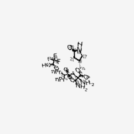 CCCC(CCC)S(=O)(=O)CC(N)(C(N)=O)C(=O)OC[C@H]1CNC(=O)C1.O=C(O)C(F)(F)F